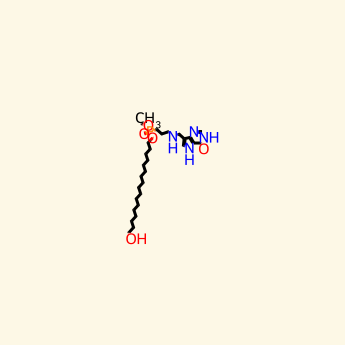 CCOP(=O)(CCCNCc1c[nH]c2c(=O)[nH]cnc12)OCCCCCCCCCCCCCCCCCO